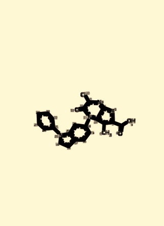 Cc1c(C(=O)O)sc2nc(Cl)c(=O)n(-c3ccc4ccn(-c5ccccc5)c4c3)c12